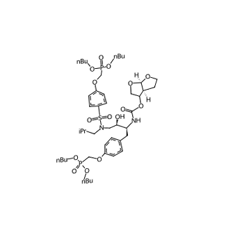 CCCCOP(=O)(COc1ccc(C[C@H](NC(=O)OC2CO[C@H]3OCC[C@@H]23)[C@H](O)CN(CC(C)C)S(=O)(=O)c2ccc(OCP(=O)(OCCCC)OCCCC)cc2)cc1)OCCCC